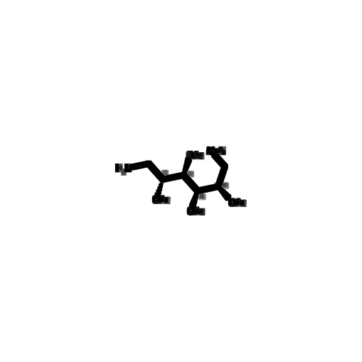 CNC[C@@H](OC(C)=O)[C@@H](OC(C)=O)[C@H](OC(C)=O)[C@@H](CN)OC(C)=O